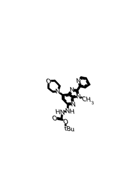 Cn1c(-c2ccccn2)nc2c(N3CCOCC3)cc(NNC(=O)OC(C)(C)C)nc21